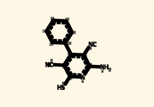 [C-]#[N+]c1c(N)nc(S)c(C#N)c1-c1ccccc1